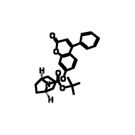 CC(C)(C)OC(=O)N1[C@@H]2CC[C@H]1C[C@H](Oc1ccc3c(-c4ccccc4)cc(=O)oc3c1)C2